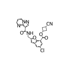 N#CC1CC(OC(=O)c2cc(Cl)cc3cc(CNC(=O)c4cnn5cccnc45)oc23)C1